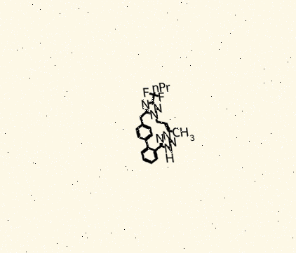 CC=CCn1nc(C(F)(F)CCC)nc1Cc1ccc(-c2ccccc2-c2nnn[nH]2)cc1